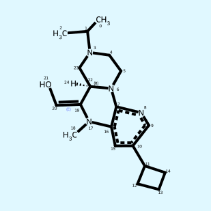 CC(C)N1CCN2c3ncc(C4CCC4)cc3N(C)/C(=C/O)[C@H]2C1